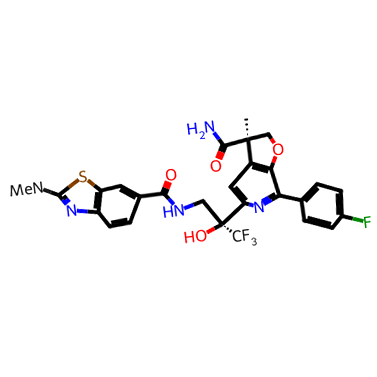 CNc1nc2ccc(C(=O)NC[C@](O)(c3cc4c(c(-c5ccc(F)cc5)n3)OC[C@]4(C)C(N)=O)C(F)(F)F)cc2s1